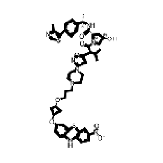 Cc1ncsc1-c1ccc([C@H](C)NC(=O)[C@@H]2C[C@@H](O)CN2C(=O)C(c2cc(N3CCN(CCCO[C@H]4C[C@H](Oc5ccc6c(c5)Sc5cc([N+](=O)[O-])ccc5N6)C4)CC3)no2)C(C)C)cc1